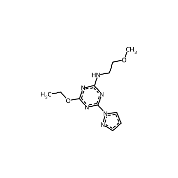 CCOc1nc(NCCOC)nc(-n2cccn2)n1